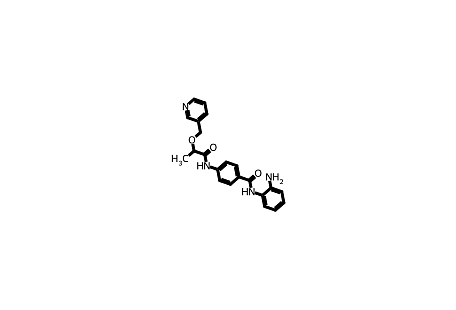 CC(OCc1cccnc1)C(=O)Nc1ccc(C(=O)Nc2ccccc2N)cc1